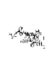 C=C(C)C(=O)O.C=CC(=O)OCCCC.C=CC(=O)OCCO